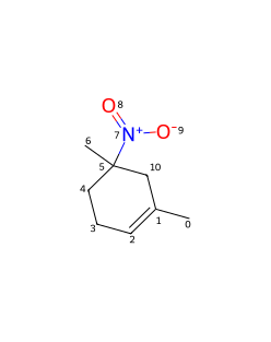 CC1=CCCC(C)([N+](=O)[O-])C1